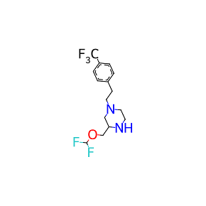 FC(F)OCC1CN(CCc2ccc(C(F)(F)F)cc2)CCN1